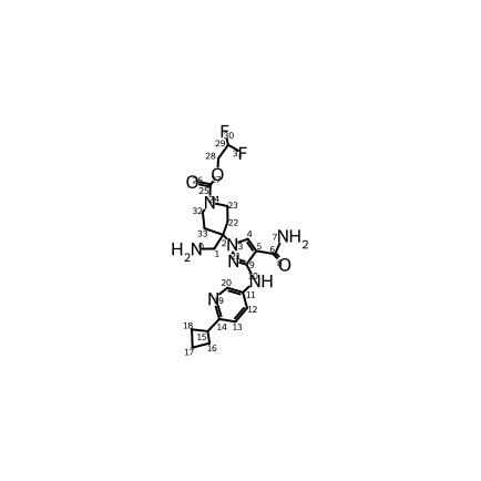 NCC1(n2cc(C(N)=O)c(Nc3ccc(C4CCC4)nc3)n2)CCN(C(=O)OCC(F)F)CC1